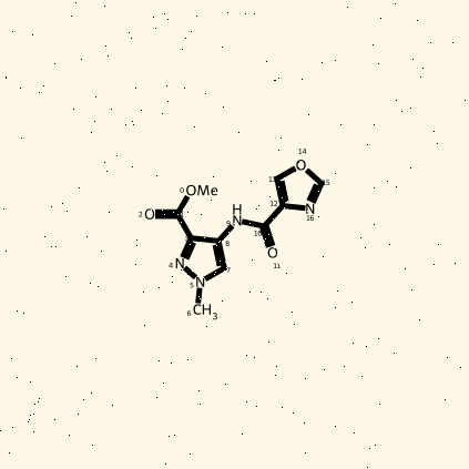 COC(=O)c1nn(C)cc1NC(=O)c1cocn1